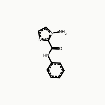 Nn1ccnc1C(=O)Nc1ccccc1